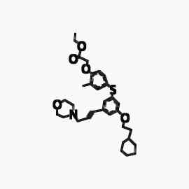 CCOC(=O)COc1ccc(Sc2cc(C#CCN3CCOCC3)cc(OCCC3CCCCC3)c2)cc1C